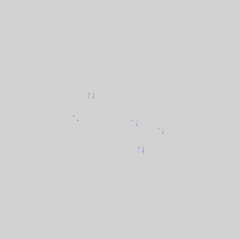 c1ccc(-c2nc(N3c4ccccc4-c4c(n(-c5cc6ccccc6cn5)c5ccccc45)-c4ccccc43)nc3ccccc23)cc1